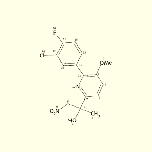 COc1ccc(C(C)(O)C[N+](=O)[O-])nc1-c1ccc(F)c(Cl)c1